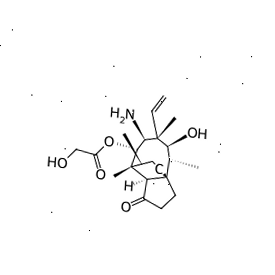 C=C[C@@]1(C)[C@H](N)[C@@H](OC(=O)CO)[C@]2(C)[C@H](C)CC[C@]3(CCC(=O)[C@H]32)[C@@H](C)[C@@H]1O